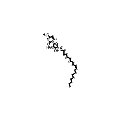 CCCCCCCC/C=C\CCCCCCCCOC[C@H]1O[C@@H](n2ccc(N)nc2=O)[C@H](O)[C@@H]1O